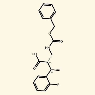 C[C@@H](c1ccccc1F)[C@@H](CNC(=O)OCc1ccccc1)C(=O)O